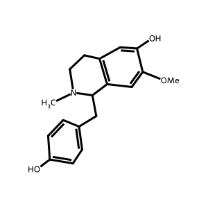 COc1cc2c(cc1O)CCN(C)C2Cc1ccc(O)cc1